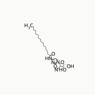 CCCCCCCCCCCCCCCC(=O)Nc1ccn([C@@H]2O[C@H](CO)C(O)C2C#N)c(=O)n1